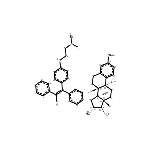 CCN(CC)CCOc1ccc(/C(=C(/Cl)c2ccccc2)c2ccccc2)cc1.COc1ccc2c(c1)CC[C@@H]1[C@@H]2CC[C@]2(C)[C@H](O)[C@H](O)C[C@@H]12